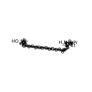 CCCN(OCC)C(=O)C1=Cc2sc(CC3CN(C(=O)CCOCCOCCOCCOCCOCCOCCOCCOCCOCCOCCC(=O)Oc4c(F)c(F)c(S(=O)(=O)O)c(F)c4F)C3)cc2N=C(N)C1